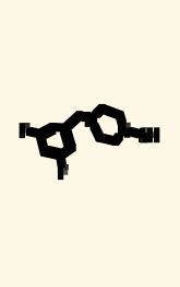 Fc1cc(F)cc(CN2CCN(S)CC2)c1